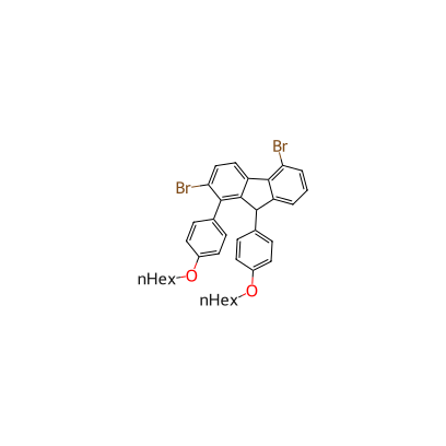 CCCCCCOc1ccc(-c2c(Br)ccc3c2C(c2ccc(OCCCCCC)cc2)c2cccc(Br)c2-3)cc1